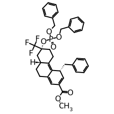 COC(=O)C1=C[C@@H](Cc2ccccc2)C2=C3CC[C@](OP(=O)(OCc4ccccc4)OCc4ccccc4)(C(F)(F)F)C[C@H]3CCC2=C1